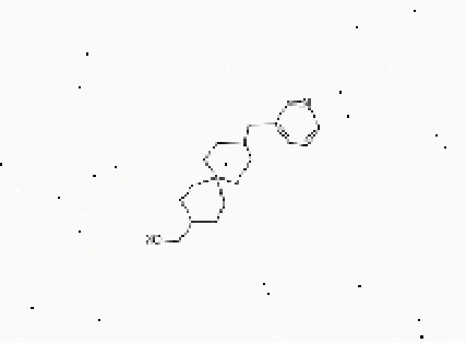 OCC1CCC2(CC1)CCC(Cc1cccnc1)CC2